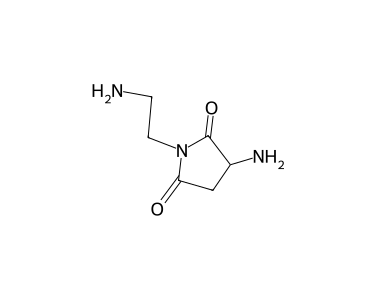 NCCN1C(=O)CC(N)C1=O